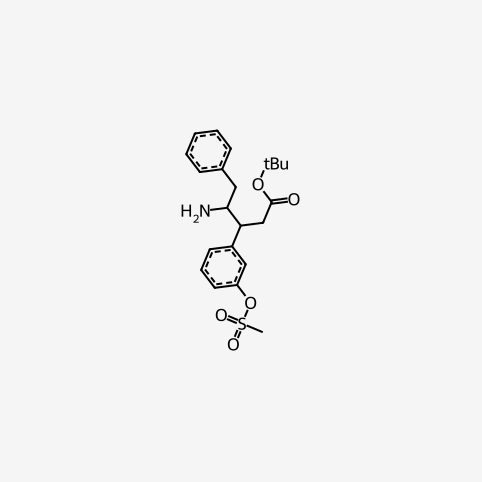 CC(C)(C)OC(=O)CC(c1cccc(OS(C)(=O)=O)c1)C(N)Cc1ccccc1